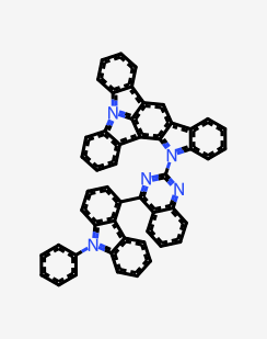 c1ccc(-n2c3ccccc3c3c(-c4nc(-n5c6ccccc6c6cc7c8ccccc8n8c9ccccc9c(c65)c78)nc5ccccc45)cccc32)cc1